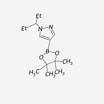 [CH2]CC(CC)n1cc(B2OC(C)(C)C(C)(C)O2)cn1